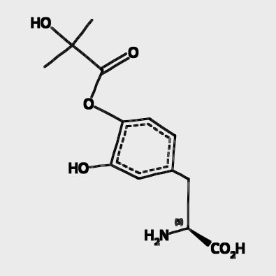 CC(C)(O)C(=O)Oc1ccc(C[C@H](N)C(=O)O)cc1O